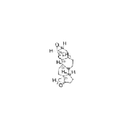 C[C@]12C[C@H]3O[C@H]3CC1CC[C@@H]1[C@@H]2CC[C@]2(C)C(=O)CC[C@@H]12